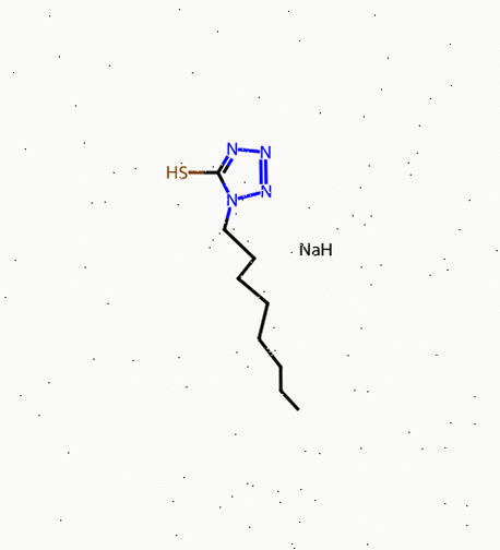 CCCCCCCCn1nnnc1S.[NaH]